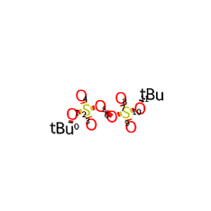 CC(C)(C)OS(=O)(=O)OOS(=O)(=O)OC(C)(C)C